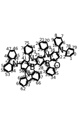 c1ccc(N(c2ccccc2)c2cc3c4c(c2)N(c2ccccc2)c2cc5c(cc2B4c2ccccc2O3)B2c3c(cc(-n4c6ccccc6c6ccccc64)cc3-n3c4ccccc4c4cccc2c43)N5c2ccccc2)cc1